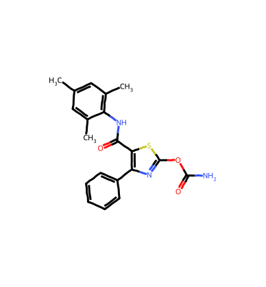 Cc1cc(C)c(NC(=O)c2sc(OC(N)=O)nc2-c2ccccc2)c(C)c1